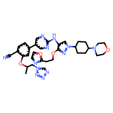 CC(Cn1cnnn1)Oc1cc(-c2cnc(Nc3cn(C4CCC(N5CCOCC5)CC4)nc3OCCc3ncco3)nc2)ccc1C#N